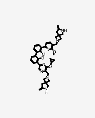 C=C1CC2(CN1)CN(Cc1ccc(-c3cccc(-c4cccc(-c5cnc(CN6CC7(CNC(=C)C7)C6)c(OC6CC6)n5)c4Cl)c3Cl)nc1OC)C2